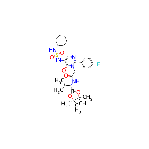 CC(C)C(NC(=O)Cn1c(-c2ccc(F)cc2)ncc(NS(=O)(=O)NC2CCCCC2)c1=O)B1OC(C)(C)C(C)(C)O1